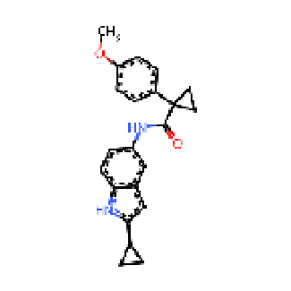 COc1ccc(C2(C(=O)Nc3ccc4[nH]c(C5CC5)cc4c3)CC2)cc1